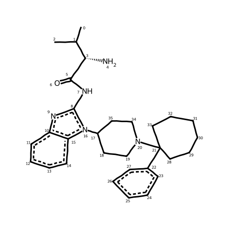 CC(C)[C@H](N)C(=O)Nc1nc2ccccc2n1C1CCN(C2(c3ccccc3)CCCCCC2)CC1